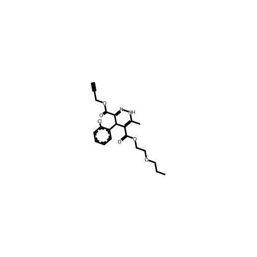 C#CCOC(=O)C1=NNC(C)=C(C(=O)OCCOCCC)C1c1ccccc1Cl